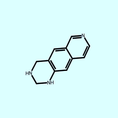 c1cc2cc3c(cc2cn1)CNCN3